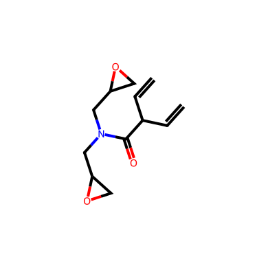 C=CC(C=C)C(=O)N(CC1CO1)CC1CO1